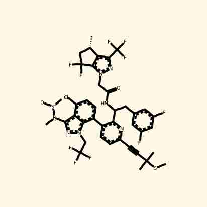 CSC(C)(C)C#Cc1ccc(-c2ccc(Cl)c3c(N(C)[S+](C)[O-])nn(CC(F)(F)F)c23)c(C(Cc2cc(F)cc(F)c2)NC(=O)Cn2nc(C(F)(F)F)c3c2C(F)(F)C[C@@H]3C)n1